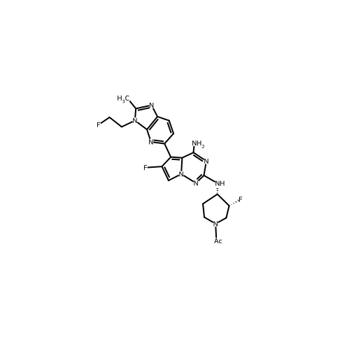 CC(=O)N1CC[C@H](Nc2nc(N)c3c(-c4ccc5nc(C)n(CCF)c5n4)c(F)cn3n2)[C@H](F)C1